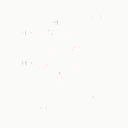 CCCCO[C@@H]1[C@@H](OCCCC)[C@@H](OC)O[C@H](C(=O)N(C)OC)[C@H]1OCCCC